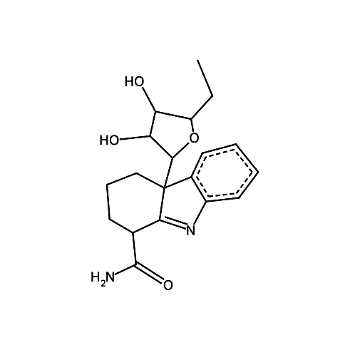 CCC1OC(C23CCCC(C(N)=O)C2=Nc2ccccc23)C(O)C1O